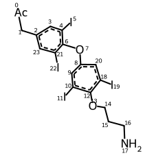 CC(=O)Cc1cc(I)c(Oc2cc(I)c(OCCCN)c(I)c2)c(I)c1